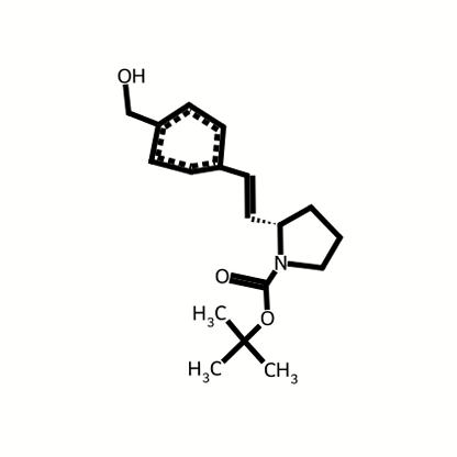 CC(C)(C)OC(=O)N1CCC[C@H]1C=Cc1ccc(CO)cc1